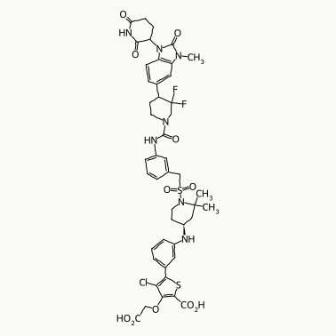 Cn1c(=O)n(C2CCC(=O)NC2=O)c2ccc(C3CCN(C(=O)Nc4cccc(CS(=O)(=O)N5CC[C@H](Nc6cccc(-c7sc(C(=O)O)c(OCC(=O)O)c7Cl)c6)CC5(C)C)c4)CC3(F)F)cc21